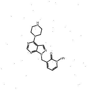 CCCn1cccc(Cn2ncc3c(N4CCNCC4)ncnc32)c1=O